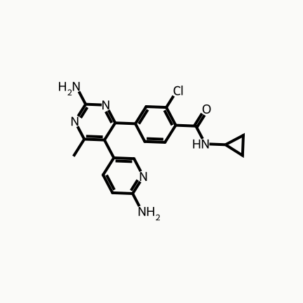 Cc1nc(N)nc(-c2ccc(C(=O)NC3CC3)c(Cl)c2)c1-c1ccc(N)nc1